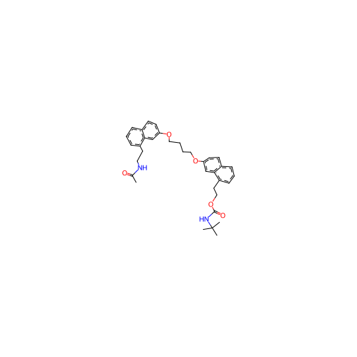 CC(=O)NCCc1cccc2ccc(OCCCCOc3ccc4cccc(CCOC(=O)NC(C)(C)C)c4c3)cc12